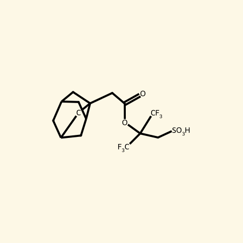 O=C(CC12CC3CC(CC1C3)C2)OC(CS(=O)(=O)O)(C(F)(F)F)C(F)(F)F